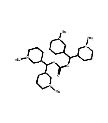 CCCCN1CCCC(C(OC(=O)OC(C2CCCN(CCCC)C2)C2CCCN(CCCC)C2)C2CCCN(CCCC)C2)C1